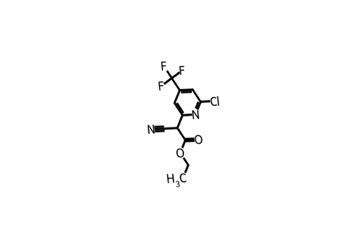 CCOC(=O)C(C#N)c1cc(C(F)(F)F)cc(Cl)n1